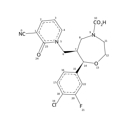 N#Cc1cccn(C[C@H]2CN(C(=O)O)CCO[C@H]2c2ccc(Cl)c(F)c2)c1=O